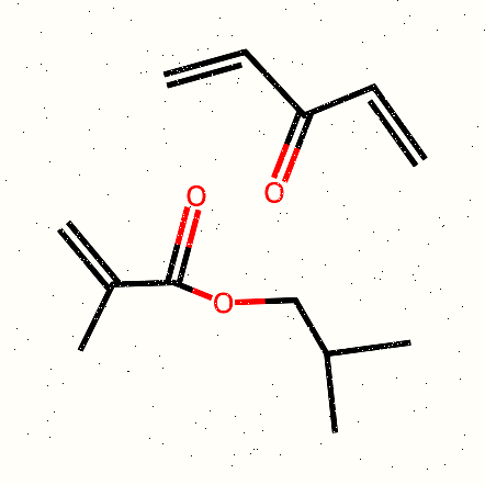 C=C(C)C(=O)OCC(C)C.C=CC(=O)C=C